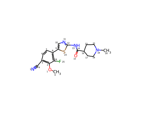 COc1c(C#N)ccc(-c2cnc(NC(=O)C3CCN(C)CC3)s2)c1F